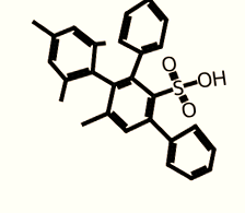 Cc1cc(C)c(-c2c(C)cc(-c3ccccc3)c(S(=O)(=O)O)c2-c2ccccc2)c(C)c1